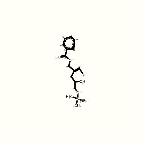 CC(C)(C)[Si](C)(C)OCC(O)CC(=CF)COC(=O)c1ccccc1